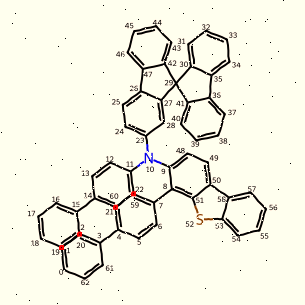 c1ccc(-c2ccc(-c3c(N(c4ccc(-c5ccccc5)cc4)c4ccc5c(c4)C4(c6ccccc6-c6ccccc64)c4ccccc4-5)ccc4c3sc3ccccc34)cc2)cc1